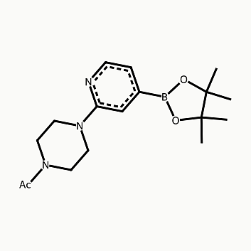 CC(=O)N1CCN(c2cc(B3OC(C)(C)C(C)(C)O3)ccn2)CC1